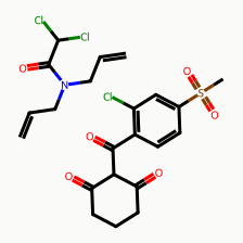 C=CCN(CC=C)C(=O)C(Cl)Cl.CS(=O)(=O)c1ccc(C(=O)C2C(=O)CCCC2=O)c(Cl)c1